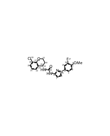 COc1ccc(-n2ccc(NC(=O)N[C@H]3CCOc4c(Cl)cccc43)n2)cc1F